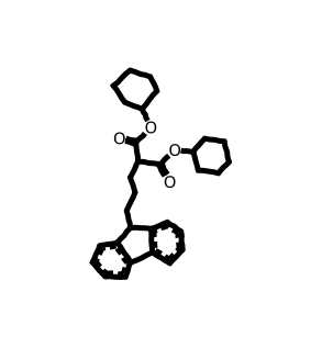 O=C(OC1CCCCC1)C(CCCC1c2ccccc2-c2ccccc21)C(=O)OC1CCCCC1